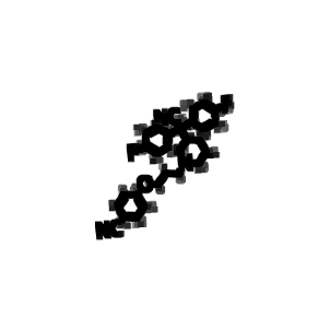 N#Cc1ccc(OCCCN2CCCC(C(C#N)(c3ccc(F)cc3)c3ccc(F)cc3)C2)cc1